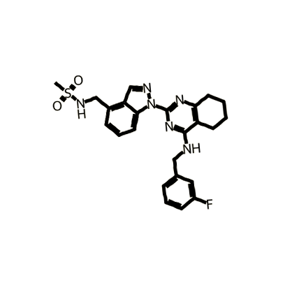 CS(=O)(=O)NCc1cccc2c1cnn2-c1nc2c(c(NCc3cccc(F)c3)n1)CCCC2